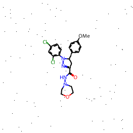 COc1ccc(C2CC(C(=O)NN3CCOCC3)=NN2c2ccc(Cl)cc2Cl)cc1